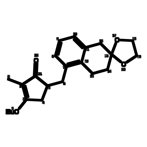 CC1=C(OCC(C)C)CC(Cc2cccc3c2CCC2(C3)OCCO2)C1=O